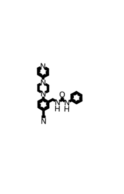 N#Cc1ccc(N2CCN(c3ccncc3)CC2)c(CNC(=O)Nc2ccccc2)c1